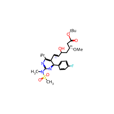 CO[C@@H](CC(=O)OC(C)(C)C)CC(O)/C=C/c1c(-c2ccc(F)cc2)nc(N(C)S(C)(=O)=O)nc1C(C)C